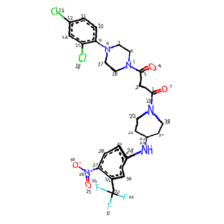 O=C(CC(=O)N1CCN(c2ccc(Cl)cc2Cl)CC1)N1CCC(Nc2ccc([N+](=O)[O-])c(C(F)(F)F)c2)CC1